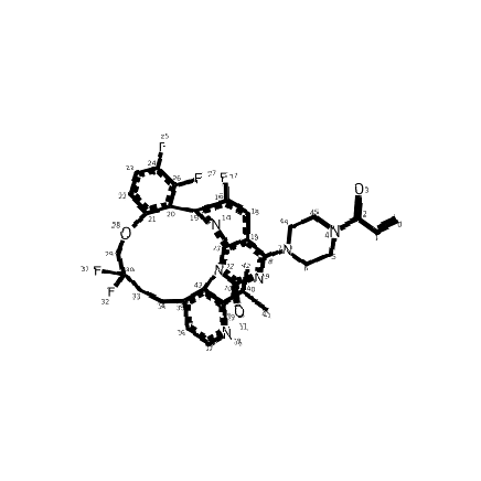 C=CC(=O)N1CCN(c2nc(=O)n3c4nc(c(F)cc24)-c2c(ccc(F)c2F)OCC(F)(F)CCc2ccnc(C(C)C)c2-3)CC1